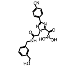 N#Cc1ccc(-c2nc(C(=O)N(O)O)n(CC(=O)NCc3cccc(CO)c3)n2)cc1